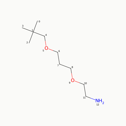 CC(C)(C)COCCCOCCN